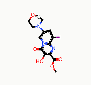 COC(=O)c1nc2c(I)cc(N3CCOCC3)cn2c(=O)c1O